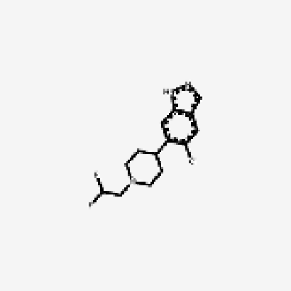 FC(F)CN1CCC(c2cc3[nH]ncc3cc2Cl)CC1